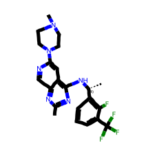 Cc1nc(N[C@H](C)c2cccc(C(F)(F)F)c2F)c2cc(N3CCN(C)CC3)ncc2n1